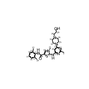 Cc1nc(NC2SC(C(=O)Nc3c(C)cccc3C)=CN2C)cc(N2CCN(CCO)CC2)n1